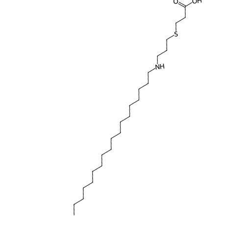 CCCCCCCCCCCCCCCCCCNCCCSCCC(=O)O